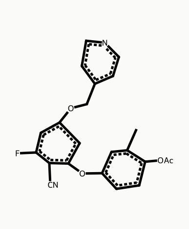 CC(=O)Oc1ccc(Oc2cc(OCc3ccncc3)cc(F)c2C#N)cc1C